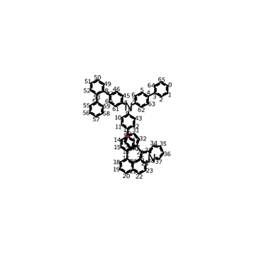 c1ccc(-c2ccc(N(c3ccc(-c4ccc(-c5cccc6ccc7c(c(-c8ccccc8)c8ccccn87)c56)cc4)cc3)c3ccc(-c4ccccc4-c4ccccc4)cc3)cc2)cc1